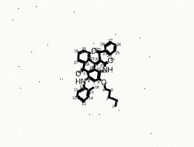 CCCCCOc1cc(Nc2ccccc2C)c2c3c(c(C(=O)c4ccccc4)c(=O)[nH]c13)-c1ccccc1C2=O